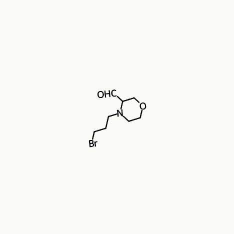 O=CC1COCCN1CCCBr